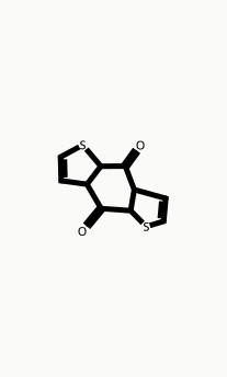 O=C1C2C=CSC2C(=O)C2C=CSC12